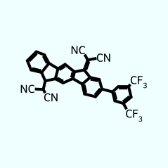 N#CC(C#N)=C1c2cc(-c3cc(C(F)(F)F)cc(C(F)(F)F)c3)ccc2-c2cc3c(cc21)-c1ccccc1C3C(C#N)C#N